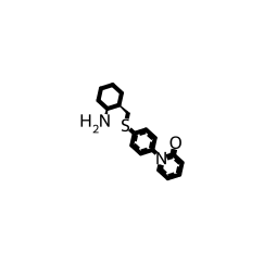 N[C@H]1CCCC[C@H]1CSc1ccc(-n2ccccc2=O)cc1